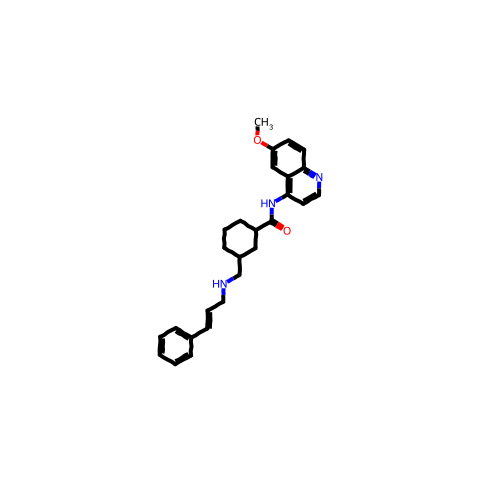 COc1ccc2nccc(NC(=O)C3CCCC(CNC/C=C/c4ccccc4)C3)c2c1